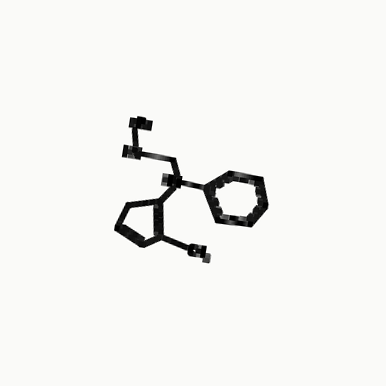 CCCCNC[SiH](C1=C(C)C=CC1)c1ccccc1